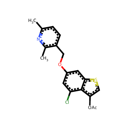 CC(=O)Oc1csc2cc(OCc3ccc(C)nc3C)cc(Cl)c12